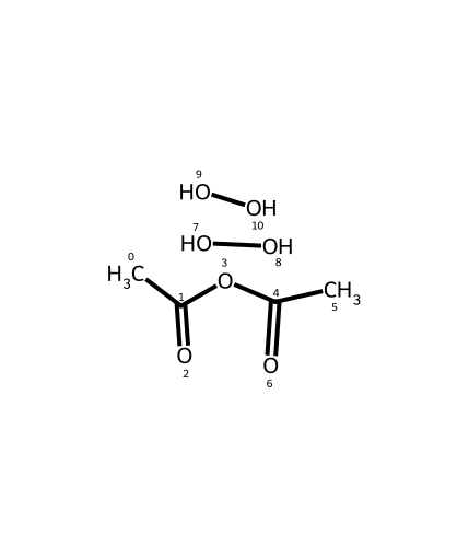 CC(=O)OC(C)=O.OO.OO